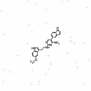 Nc1nc(NCCc2c[nH]c3ccc(OC(F)(F)F)cc23)ncc1-c1ccc2[nH]ccc2c1